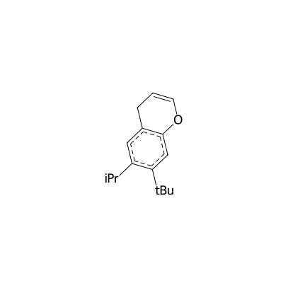 CC(C)c1cc2c(cc1C(C)(C)C)OC=CC2